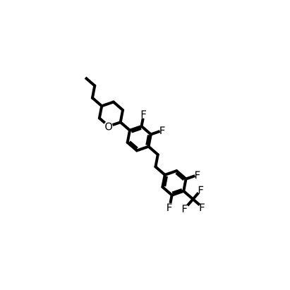 CCCC1CCC(c2ccc(CCc3cc(F)c(C(F)(F)F)c(F)c3)c(F)c2F)OC1